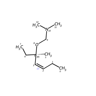 CC/C=C\[C@@](C)(CC)OCN(C)C